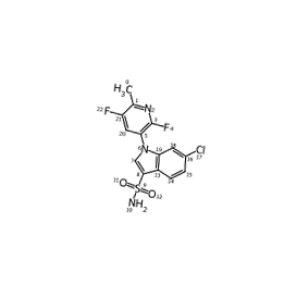 Cc1nc(F)c(-n2cc(S(N)(=O)=O)c3ccc(Cl)cc32)cc1F